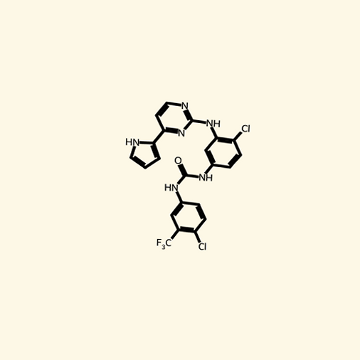 O=C(Nc1ccc(Cl)c(Nc2nccc(-c3ccc[nH]3)n2)c1)Nc1ccc(Cl)c(C(F)(F)F)c1